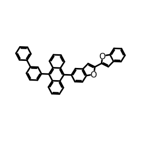 c1ccc(-c2cccc(-c3c4ccccc4c(-c4ccc5oc(-c6cc7ccccc7o6)cc5c4)c4ccccc34)c2)cc1